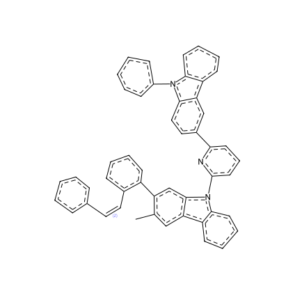 Cc1cc2c3ccccc3n(-c3cccc(-c4ccc5c(c4)c4ccccc4n5-c4ccccc4)n3)c2cc1-c1ccccc1/C=C\c1ccccc1